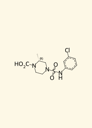 C[C@@H]1CN(S(=O)(=O)Nc2cccc(Cl)c2)CCN1C(=O)O